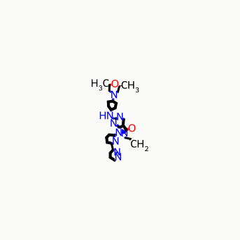 C=CCn1c(=O)c2cnc(Nc3ccc(N4C[C@@H](C)O[C@H](C)C4)cc3)nc2n1-c1cccc(-c2cccnn2)n1